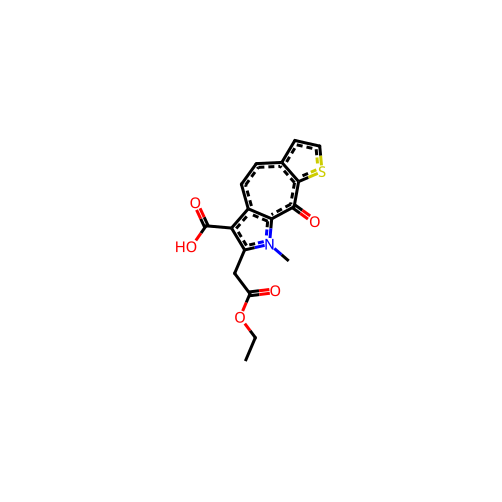 CCOC(=O)Cc1c(C(=O)O)c2ccc3ccsc3c(=O)c2n1C